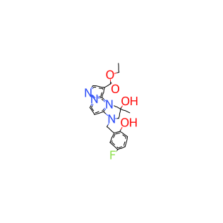 CCOC(=O)c1cnn2ccc(N(Cc3cc(F)ccc3O)CC(C)(C)O)nc12